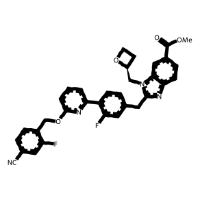 COC(=O)c1ccc2nc(Cc3ccc(-c4cccc(OCc5ccc(C#N)cc5F)n4)c(F)c3)n(C[C@@H]3CCO3)c2c1